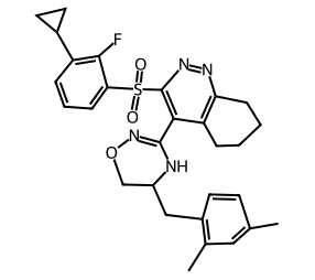 Cc1ccc(CC2CON=C(c3c(S(=O)(=O)c4cccc(C5CC5)c4F)nnc4c3CCCC4)N2)c(C)c1